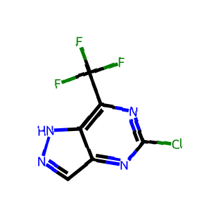 FC(F)(F)c1nc(Cl)nc2cn[nH]c12